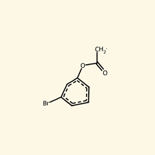 [CH2]C(=O)Oc1cccc(Br)c1